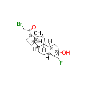 C[C@]12CC[C@@H]3[C@H]4CC[C@]5(O)C(F)C5[C@H]4CC[C@H]3[C@@H]1CC[C@@H]2C(=O)CBr